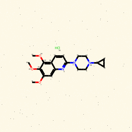 COc1cc2nc(N3CCN(C4CC4)CC3)ccc2c(OC)c1OC.Cl